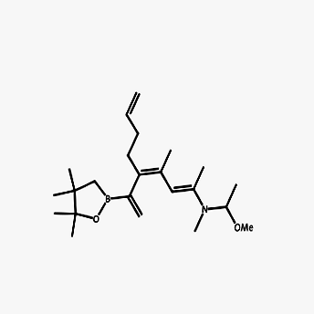 C=CCC/C(C(=C)B1CC(C)(C)C(C)(C)O1)=C(C)/C=C(\C)N(C)C(C)OC